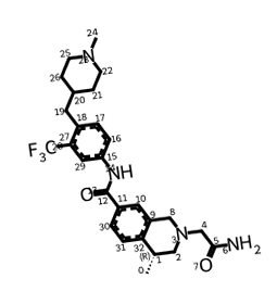 C[C@H]1CN(CC(N)=O)Cc2cc(C(=O)Nc3ccc(CC4CCN(C)CC4)c(C(F)(F)F)c3)ccc21